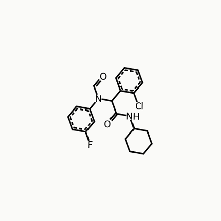 O=CN(c1cccc(F)c1)C(C(=O)NC1CCCCC1)c1ccccc1Cl